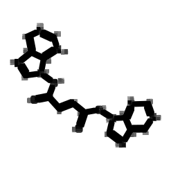 O=C(/C=C/C(=O)On1cnc2cncnc21)On1cnc2cncnc21